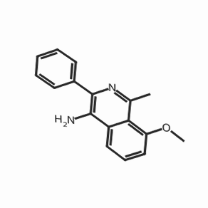 COc1cccc2c(N)c(-c3ccccc3)nc(C)c12